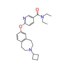 CCN(CC)C(=O)c1ccc(Oc2ccc3c(c2)CCN(C2CCC2)CC3)nc1